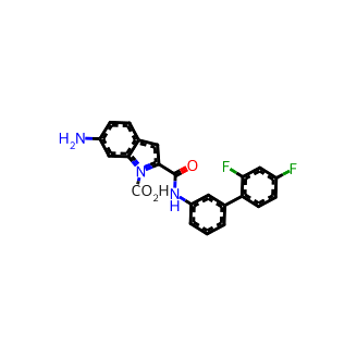 Nc1ccc2cc(C(=O)Nc3cccc(-c4ccc(F)cc4F)c3)n(C(=O)O)c2c1